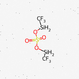 O=S(=O)(O[SiH2]C(F)(F)F)O[SiH2]C(F)(F)F